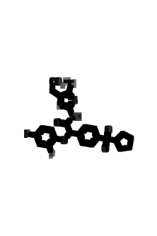 O=C(O)Cc1nc(NC(=O)C(Oc2ccc(F)cc2F)c2ccc(S(=O)(=O)C3CCCC3)cc2)sc1Cl